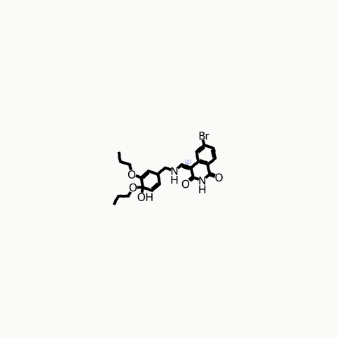 CCCOC1=CC(CN/C=C2\C(=O)NC(=O)c3ccc(Br)cc32)C=CC1(O)OCCC